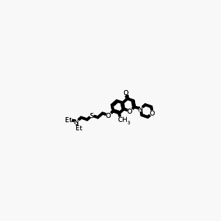 CCN(CC)CCSCCOc1ccc2c(=O)cc(N3CCOCC3)oc2c1C